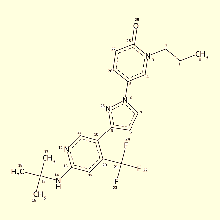 CCCn1cc(-n2ccc(-c3cnc(NC(C)(C)C)cc3C(F)(F)F)n2)ccc1=O